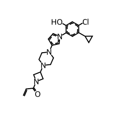 C=CC(=O)N1CC(N2CCN(c3ccn(-c4cc(C5CC5)c(Cl)cc4O)c3)CC2)C1